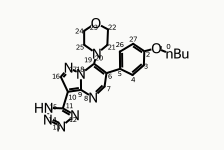 CCCCOc1ccc(-c2cnc3c(-c4nnn[nH]4)cnn3c2N2CCOCC2)cc1